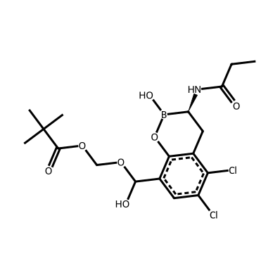 CCC(=O)N[C@H]1Cc2c(Cl)c(Cl)cc(C(O)OCOC(=O)C(C)(C)C)c2OB1O